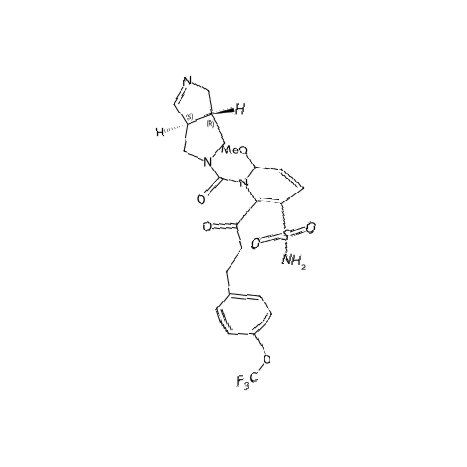 COC1C=CC(S(N)(=O)=O)=C(C(=O)CCc2ccc(OC(F)(F)F)cc2)N1C(=O)N1C[C@H]2CN=C[C@@H]2C1